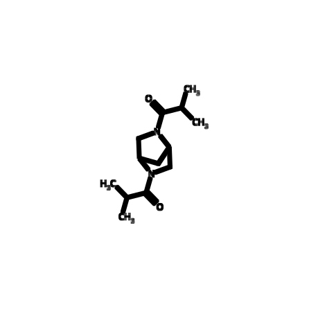 CC(C)C(=O)N1CC2CC1CN2C(=O)C(C)C